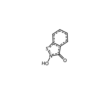 O=c1c2ccccc2sn1O